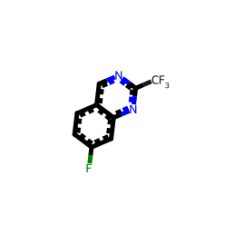 Fc1ccc2cnc(C(F)(F)F)nc2c1